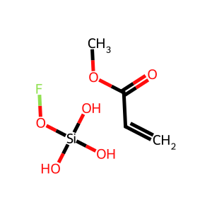 C=CC(=O)OC.O[Si](O)(O)OF